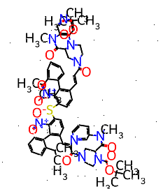 CC(C)c1ccccc1-c1c(/C=C/C(=O)N2CCN(C(=O)OC(C)(C)C)C(C(=O)N(C)c3cccnc3)C2)ccc(Sc2ccc(/C=C/C(=O)N3CCN(C(=O)OC(C)(C)C)C(C(=O)N(C)c4cccnc4)C3)c(-c3ccccc3C(C)C)c2[N+](=O)[O-])c1[N+](=O)[O-]